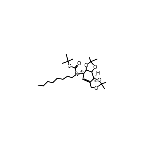 CCCCCCCCN(C(=O)OC(C)(C)C)[C@@H]1C=C2COC(C)(C)O[C@@H]2C2OC(C)(C)OC21